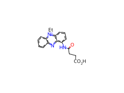 CC[n+]1c2ccccc2nc2c(NC(=O)CCC(=O)O)cccc21